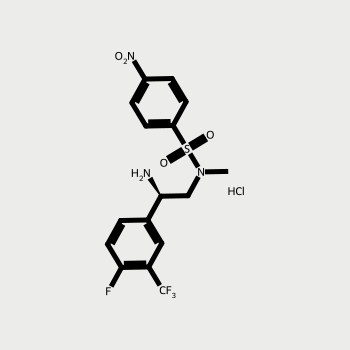 CN(C[C@H](N)c1ccc(F)c(C(F)(F)F)c1)S(=O)(=O)c1ccc([N+](=O)[O-])cc1.Cl